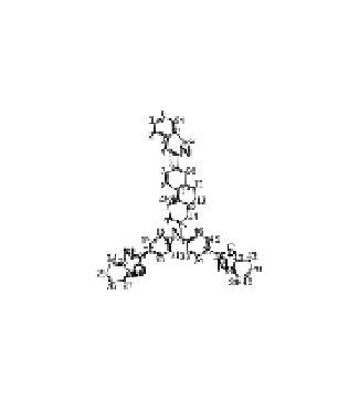 c1ccc2cc(-c3ccc4c(ccc5cc(N(c6ccc(-c7nc8ccccc8o7)cc6)c6ccc(-c7nc8ccccc8s7)cc6)ccc54)c3)ncc2c1